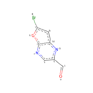 O=Cc1cnc2oc(Br)cc2n1